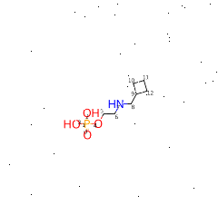 O=P(O)(O)OCCNCC1CCC1